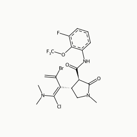 C=C(Br)/C(=C(/Cl)N(C)C)[C@H]1CN(C)C(=O)[C@@H]1C(=O)Nc1cccc(F)c1OC(F)(F)F